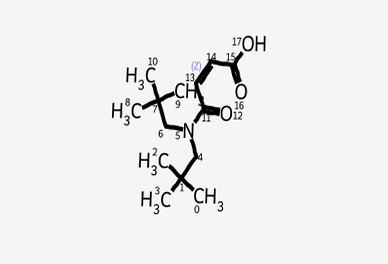 CC(C)(C)CN(CC(C)(C)C)C(=O)/C=C\C(=O)O